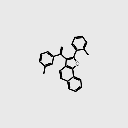 C=C(c1cccc(C)c1)c1c(-c2ccccc2C)oc2c1ccc1ccccc12